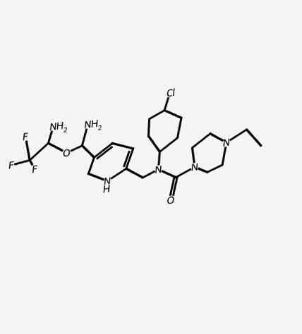 CCN1CCN(C(=O)N(CC2=CC=C(C(N)OC(N)C(F)(F)F)CN2)C2CCC(Cl)CC2)CC1